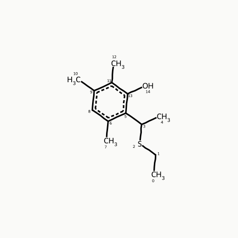 CCSC(C)c1c(C)cc(C)c(C)c1O